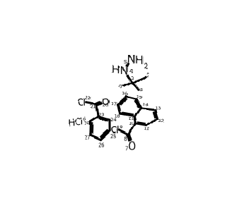 CC(C)(C)NN.Cl.O=C(Cl)c1cccc2ccccc12.O=C(Cl)c1ccccc1